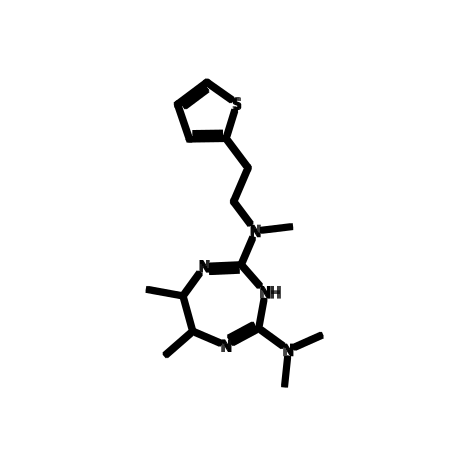 CC1N=C(N(C)C)NC(N(C)CCc2cccs2)=NC1C